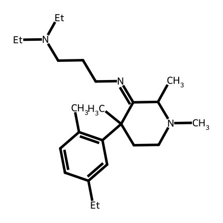 CCc1ccc(C)c(C2(C)CCN(C)C(C)/C2=N/CCCN(CC)CC)c1